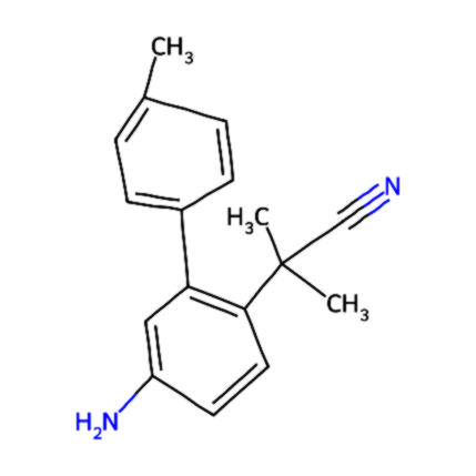 Cc1ccc(-c2cc(N)ccc2C(C)(C)C#N)cc1